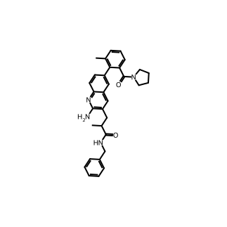 Cc1cccc(C(=O)N2CCCC2)c1-c1ccc2nc(N)c(CC(C)C(=O)NCc3ccccc3)cc2c1